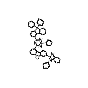 c1ccc(-c2nc(-c3cccc4c3-c3ccccc3C4(c3ccccc3)c3ccccc3)nc(-c3cccc4oc5cc(-c6nc7ccccc7n6-c6ccccc6)ccc5c34)n2)cc1